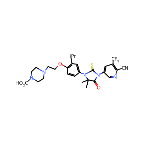 CC(C)c1cc(N2C(=S)N(c3cnc(C#N)c(C(F)(F)F)c3)C(=O)C2(C)C)ccc1OCCN1CCN(C(=O)O)CC1